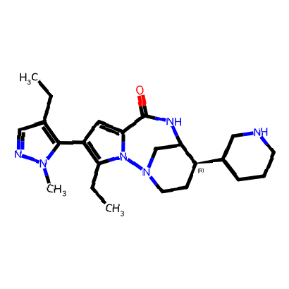 CCc1cnn(C)c1-c1cc2n(c1CC)N1CC[C@H](C3CCCNC3)C(C1)NC2=O